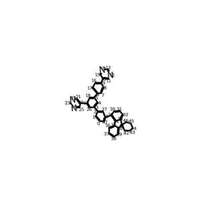 c1cc(-c2cc(-c3ccc(-c4cncnc4)cc3)cc(-c3cncnc3)c2)cc(-c2cccc3c2-c2ccccc2C32CCCCC2)c1